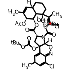 CC(=O)O[C@@H]1C(C)=C[C@@H]2CCC[C@](C)(C(C)=C(Cl)Cl)[C@@]2(O)[C@H]1OC(=O)[C@@H]1C[C@@]2(OC(=O)OC(C)(C)C)C3=CC(C)C=C(Cl)C3=NO[C@H]2N1C(=O)OC(C)(C)C